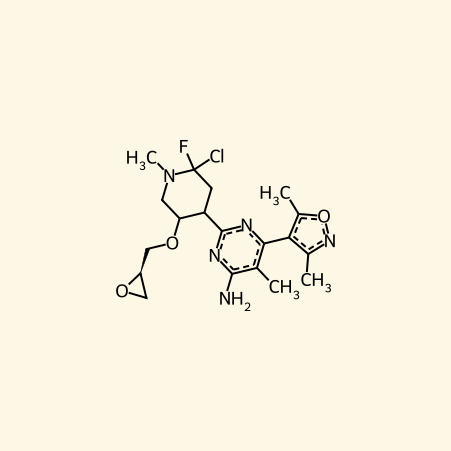 Cc1noc(C)c1-c1nc(C2CC(F)(Cl)N(C)CC2OC[C@H]2CO2)nc(N)c1C